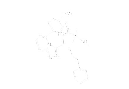 COc1ccc(-c2cccc3nnc([C@@H](COCc4ccccc4)NC(=O)C(C)(C)N)n23)cc1